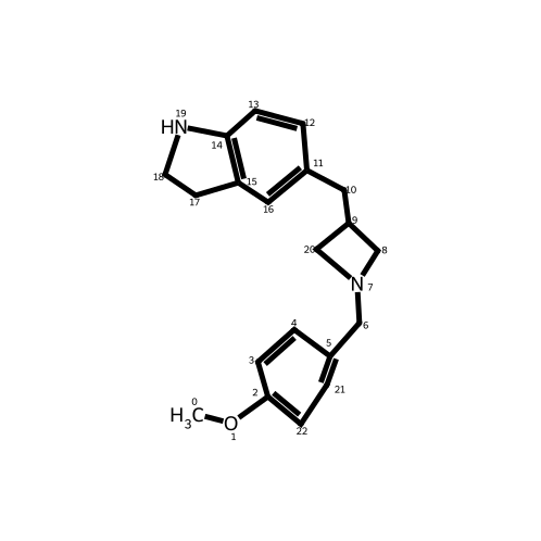 COc1ccc(CN2CC(Cc3ccc4c(c3)CCN4)C2)cc1